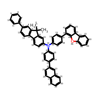 CC1(C)c2cc(-c3ccccc3)ccc2-c2ccc(N(c3ccc(-c4ccc5ccccc5c4)cc3)c3ccc(-c4cccc5c4oc4ccccc45)cc3)cc21